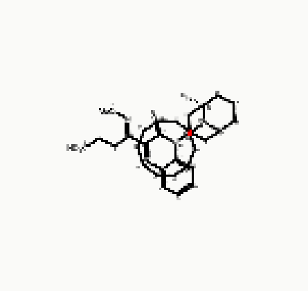 CO/N=C(\CCC(=O)O)c1nc2ccccc2n(C2CC3CCC[C@H](C2)N3C2CCCCCCCCC2)c1=O